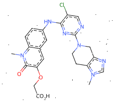 Cn1cnc2c1CCN(c1ncc(Cl)c(Nc3ccc4c(c3)cc(OCC(=O)O)c(=O)n4C)n1)C2